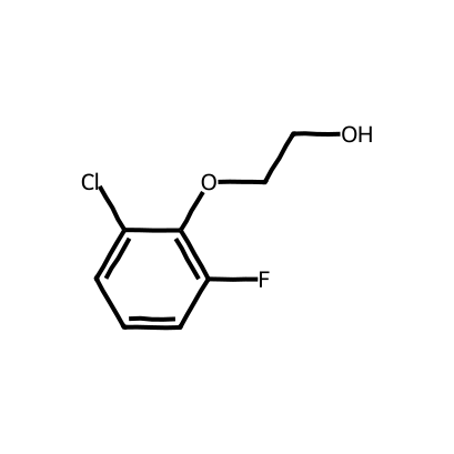 OCCOc1c(F)cccc1Cl